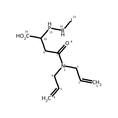 C=CCN(CC=C)C(=O)CC(PBI)C(=O)O